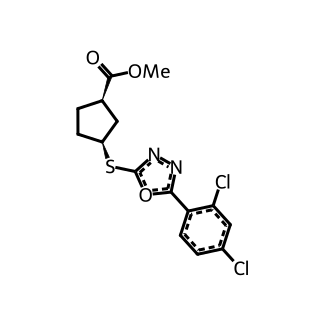 COC(=O)[C@@H]1CC[C@H](Sc2nnc(-c3ccc(Cl)cc3Cl)o2)C1